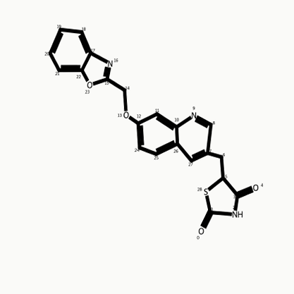 O=C1NC(=O)C(Cc2cnc3cc(OCc4nc5ccccc5o4)ccc3c2)S1